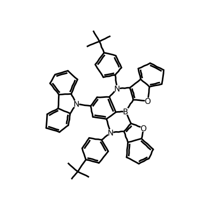 CC(C)(C)c1ccc(N2c3cc(-n4c5ccccc5c5ccccc54)cc4c3B(c3oc5ccccc5c32)c2oc3ccccc3c2N4c2ccc(C(C)(C)C)cc2)cc1